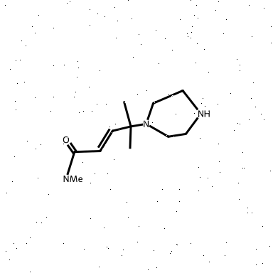 CNC(=O)/C=C/C(C)(C)N1CCNCC1